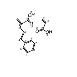 C=C(CC=Cc1ccccc1)C(=O)O.C=CC(=O)O